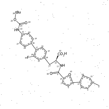 Cc1ccc(-c2ccc(C(=O)N[C@@H](Cc3ccc(-c4ccc(NC(=O)OC(C)(C)C)cc4)c(F)c3)C(=O)O)o2)cc1